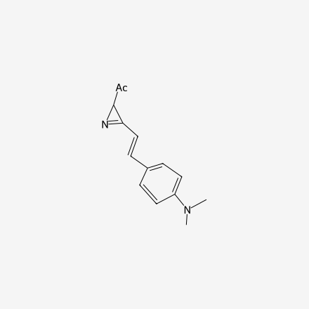 CC(=O)C1N=C1/C=C/c1ccc(N(C)C)cc1